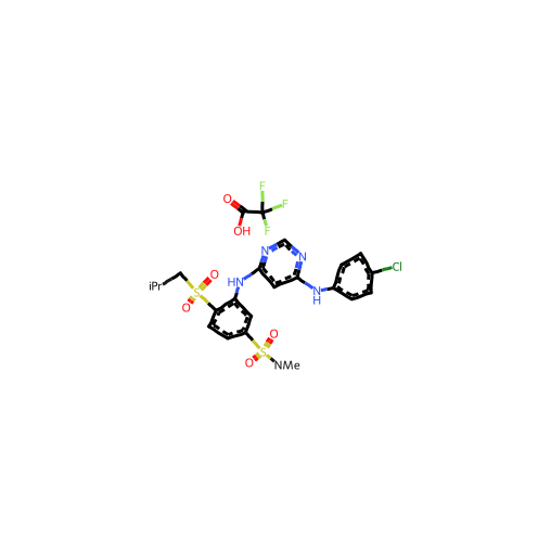 CNS(=O)(=O)c1ccc(S(=O)(=O)CC(C)C)c(Nc2cc(Nc3ccc(Cl)cc3)ncn2)c1.O=C(O)C(F)(F)F